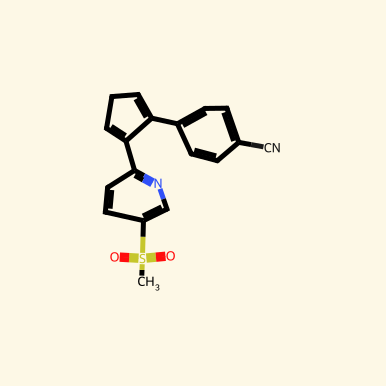 CS(=O)(=O)c1ccc(C2=CCC=C2c2ccc(C#N)cc2)nc1